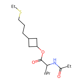 CCCC(NC(=O)CC)C(=O)OC1CC(CCCSCC)C1